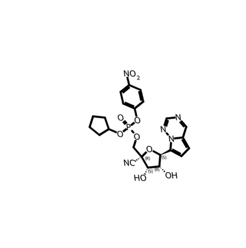 N#C[C@]1(COP(=O)(Oc2ccc([N+](=O)[O-])cc2)OC2CCCC2)O[C@@H](c2ccc3cncnn23)[C@H](O)[C@@H]1O